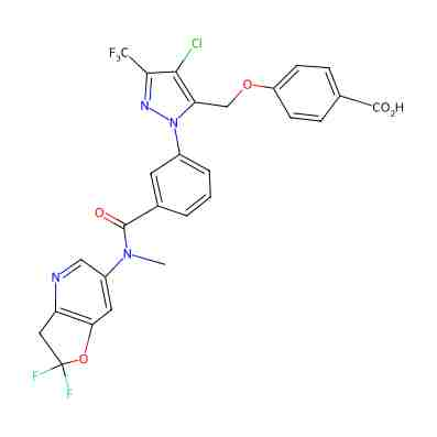 CN(C(=O)c1cccc(-n2nc(C(F)(F)F)c(Cl)c2COc2ccc(C(=O)O)cc2)c1)c1cnc2c(c1)OC(F)(F)C2